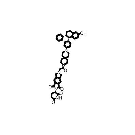 O=C1CCC(N2C(=O)c3cc4c(cc3C2=O)CN(CC(=O)N2CCC3(CC2)CCN(c2ccc([C@H]5c6ccc(O)cc6CC[C@H]5c5ccccc5)cc2)CC3)C4)C(=O)N1